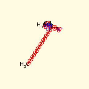 COCCOCCOCCOCCOCCOCCOCCOCCOCCOCCOCCOCCOCCOCCOCCOCCOCCc1cc(NC[C@@H](C=O)NC(=O)[C@@H](NC(=O)O)C(C)C)ccc1COC(=O)Oc1ccc([N+](=O)[O-])cc1